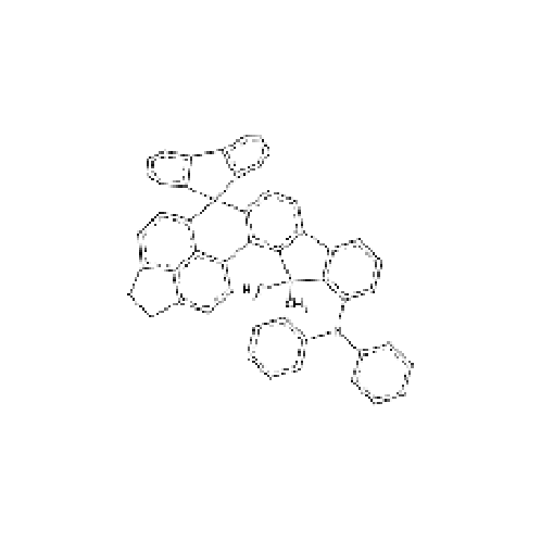 CC1(C)c2c(cccc2N(c2ccccc2)c2ccccc2)-c2ccc3c(c21)-c1ccc2c4c(ccc(c14)C31c3ccccc3-c3ccccc31)CC2